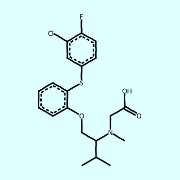 CC(C)C(COc1ccccc1Sc1ccc(F)c(Cl)c1)N(C)CC(=O)O